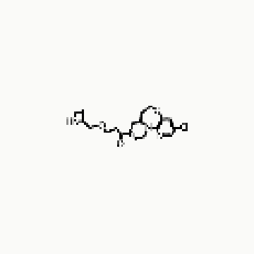 O=C(CCOCC1CCN1)N1CCN2c3ncc(Cl)cc3OCCC2C1